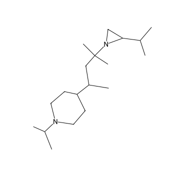 CC(C)C1CN1C(C)(C)CC(C)C1CCN(C(C)C)CC1